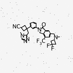 CN(Cc1cc2c(c(C(F)(F)F)c1)CN(c1cccc(C3(Cc4nncn4C)CC(C#N)C3)c1)C2=O)C1CC(F)(F)C1